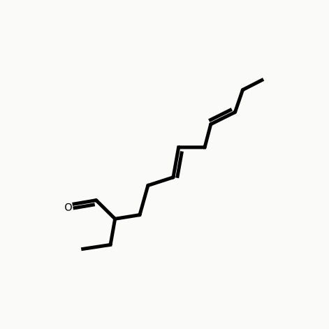 CC/C=C/C/C=C/CCC(C=O)CC